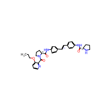 CCCOc1cccnc1C(=O)N1CCC[C@H]1C(=O)Nc1ccc(/C=C/c2ccc(NC(=O)[C@@H]3CCCN3)cc2)cc1